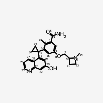 Cc1c(C(N)=O)cc(OCC2CCN2C)cc1C1(c2cc(O)cc3ncccc23)CC1